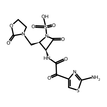 Nc1nc(C(=O)C(=O)N[C@@H]2C(=O)N(S(=O)(=O)O)[C@@H]2CN2CCOC2=O)cs1